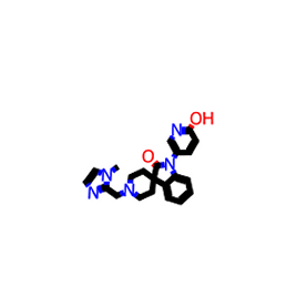 Cn1ccnc1CN1CCC2(CC1)C(=O)N(c1ccc(O)nc1)c1ccccc12